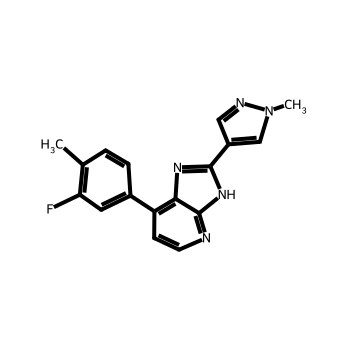 Cc1ccc(-c2ccnc3[nH]c(-c4cnn(C)c4)nc23)cc1F